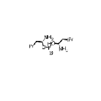 CC(C)C[C@H](N)O[PH](=O)O[C@@H](N)CC(C)C